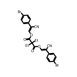 CCC(CC)(C(=O)O/C=C(\C#N)c1ccc(Br)cc1)C(=O)O/C=C(\C#N)c1ccc(Br)cc1